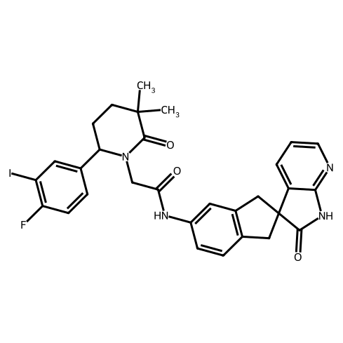 CC1(C)CCC(c2ccc(F)c(I)c2)N(CC(=O)Nc2ccc3c(c2)CC2(C3)C(=O)Nc3ncccc32)C1=O